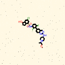 COCC(C)N1CCC(Nc2ncc3cc(-c4c(F)ccc(NS(=O)(=O)c5cc(Cl)cc6c5CCC6O)c4F)ccc3n2)CC1